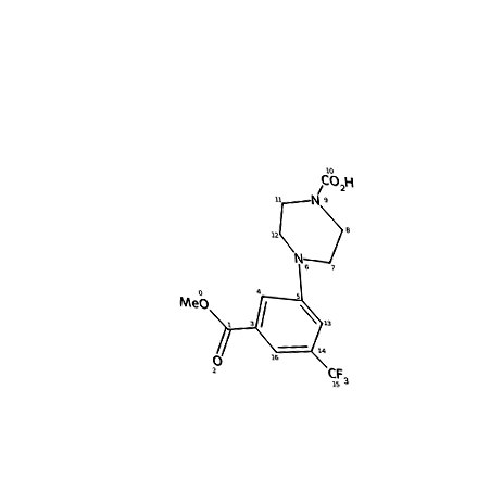 COC(=O)c1cc(N2CCN(C(=O)O)CC2)cc(C(F)(F)F)c1